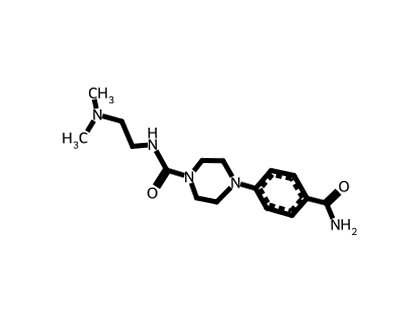 CN(C)CCNC(=O)N1CCN(c2ccc(C(N)=O)cc2)CC1